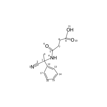 CC(C#N)(NC(=O)CCC(=O)O)c1ccccc1